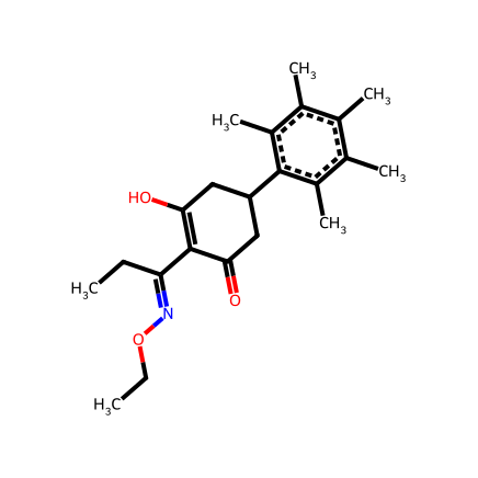 CCON=C(CC)C1=C(O)CC(c2c(C)c(C)c(C)c(C)c2C)CC1=O